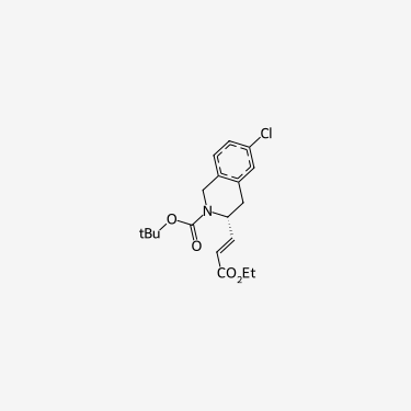 CCOC(=O)C=C[C@H]1Cc2cc(Cl)ccc2CN1C(=O)OC(C)(C)C